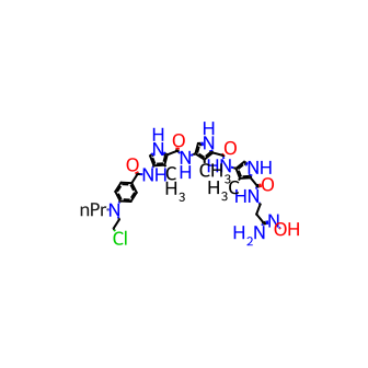 CCCN(CCCl)c1ccc(C(=O)Nc2c[nH]c(C(=O)Nc3c[nH]c(C(=O)Nc4c[nH]c(C(=O)NCCC(N)=NO)c4C)c3C)c2C)cc1